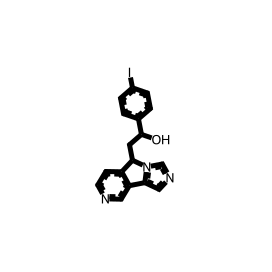 OC(CC1c2ccncc2-c2cncn21)c1ccc(I)cc1